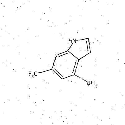 Bc1cc(C(F)(F)F)cc2[nH]ccc12